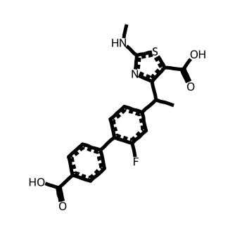 CNc1nc(C(C)c2ccc(-c3ccc(C(=O)O)cc3)c(F)c2)c(C(=O)O)s1